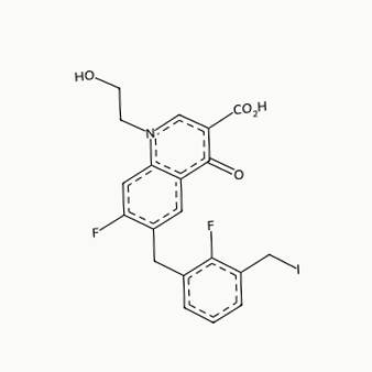 O=C(O)c1cn(CCO)c2cc(F)c(Cc3cccc(CI)c3F)cc2c1=O